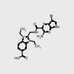 CCn1c(CNC(=O)c2nc3c(Br)c[nH]c3nc2N)[n+](CC)c2ccc(C(=O)O)cc21